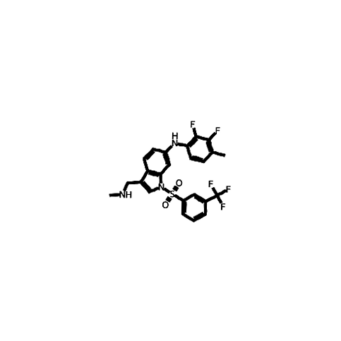 CNCc1cn(S(=O)(=O)c2cccc(C(F)(F)F)c2)c2cc(Nc3ccc(C)c(F)c3F)ccc12